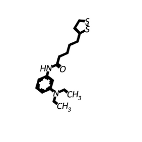 CCN(CC)c1cccc(NC(=O)CCCCC2CCSS2)c1